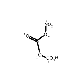 O=C(O)OC(=O)O[N+](=O)[O-]